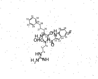 N=C(N)NCCC[C@@H]([C]=O)N(C(=O)c1cc2cc(F)ccc2[nH]1)C(=O)[C@H](N)CCCc1ccccc1